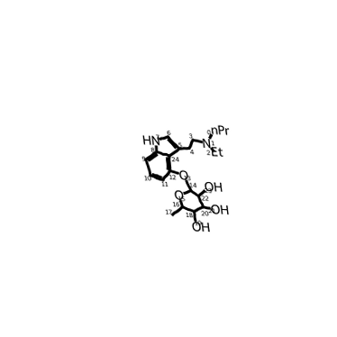 CCCN(CC)CCc1c[nH]c2cccc(OC3OC(C)C(O)C(O)C3O)c12